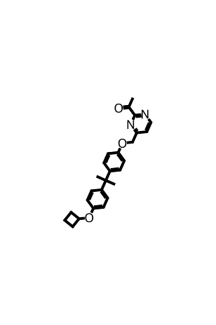 CC(=O)c1nccc(COc2ccc(C(C)(C)c3ccc(OC4CCC4)cc3)cc2)n1